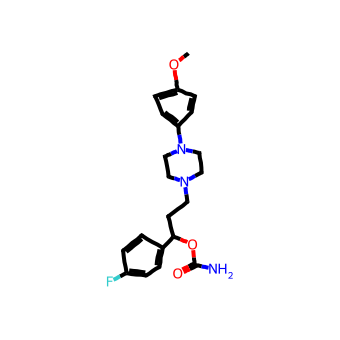 COc1ccc(N2CCN(CCC(OC(N)=O)c3ccc(F)cc3)CC2)cc1